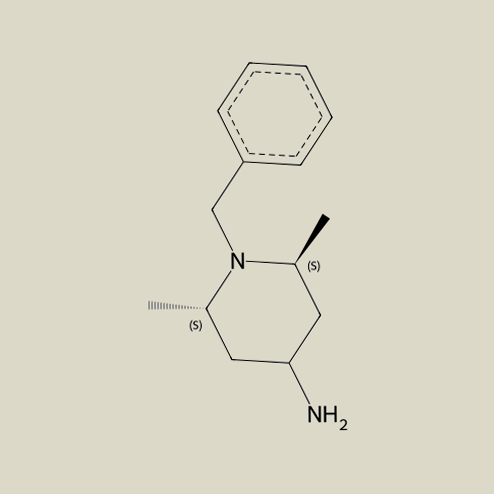 C[C@H]1CC(N)C[C@H](C)N1Cc1ccccc1